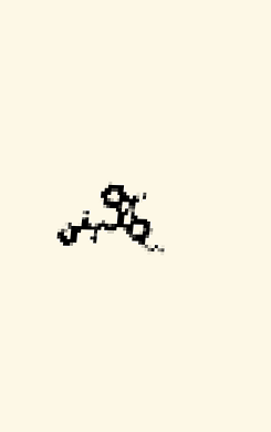 COc1ccc2c(n1)c(CCNC(=O)c1ccco1)c1n2C(=O)c2ccccc2-1